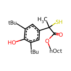 CCCCCCCCOC(=O)C(C)(S)c1cc(C(C)(C)C)c(O)c(C(C)(C)C)c1